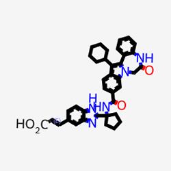 O=C(O)/C=C/c1ccc2[nH]c(C3(NC(=O)c4ccc5c(C6CCCCC6)c6n(c5c4)CC(=O)Nc4ccccc4-6)CCCC3)nc2c1